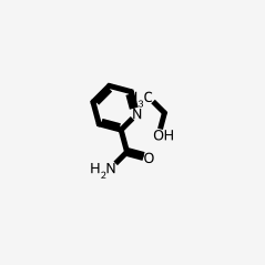 CCO.NC(=O)c1ccccn1